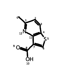 Cc1ccc2scc(C(=O)O)c2n1